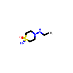 CCNN1CCS(=N)(=O)CC1